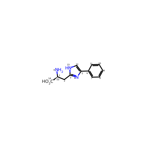 N[C@@H](Cc1nc(-c2ccccc2)c[nH]1)C(=O)O